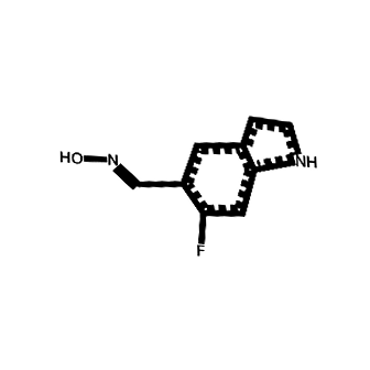 ON=Cc1cc2cc[nH]c2cc1F